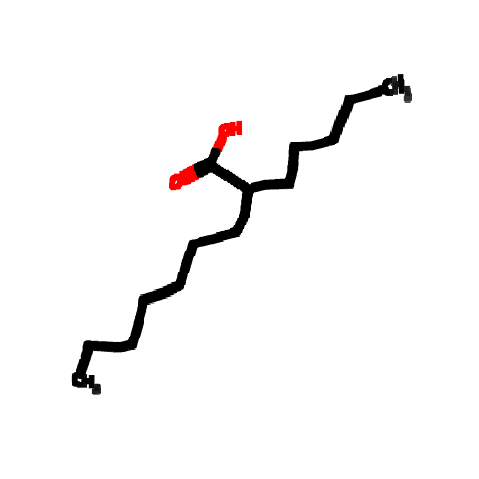 CCCCCCCC(CCCCC)C(=O)O